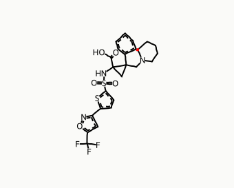 O=C(O)C1(NS(=O)(=O)c2ccc(-c3cc(C(F)(F)F)on3)s2)CC1(CN1CCCCC1)c1ccccc1